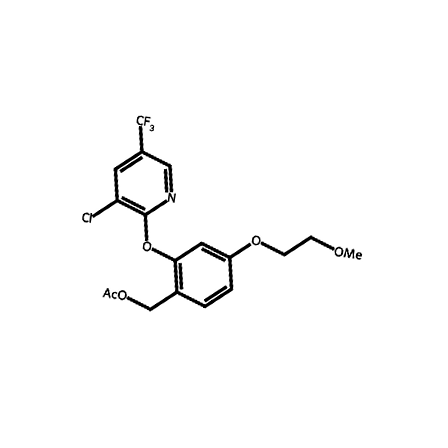 COCCOc1ccc(COC(C)=O)c(Oc2ncc(C(F)(F)F)cc2Cl)c1